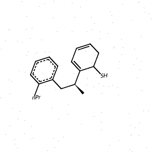 CCCc1ccccc1C[C@H](C)C1=CC=CCC1S